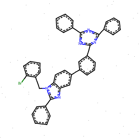 Brc1ccccc1Cn1c(-c2ccccc2)nc2cc(-c3cccc(-c4nc(-c5ccccc5)nc(-c5ccccc5)n4)c3)ccc21